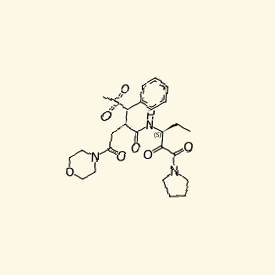 CC[C@H](NC(=O)C(CC(=O)N1CCOCC1)C(c1ccccc1)S(C)(=O)=O)C(=O)C(=O)N1CCCC1